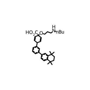 CCCCNCCCOC1(C(=O)O)C=CC(c2cccc(-c3ccc4c(c3)C(C)(C)CCC4(C)C)c2)C=C1